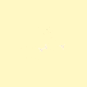 CN(C)C(=O)CC12CC[C@H](c3cc(-c4ccccc4F)nnc31)C2(C)C